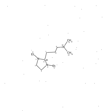 CC[N]1CC[N](CC)[Ga]1[CH2]CCN(C)C